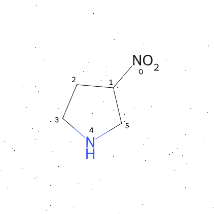 O=[N+]([O-])C1CCNC1